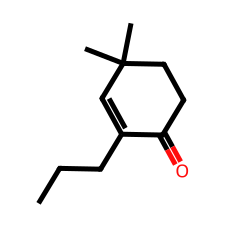 CCCC1=CC(C)(C)CCC1=O